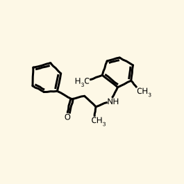 Cc1cccc(C)c1NC(C)CC(=O)c1ccccc1